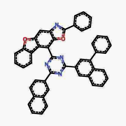 c1ccc(-c2nc3cc4oc5ccccc5c4c(-c4nc(-c5ccc6ccccc6c5)nc(-c5cc(-c6ccccc6)c6ccccc6c5)n4)c3o2)cc1